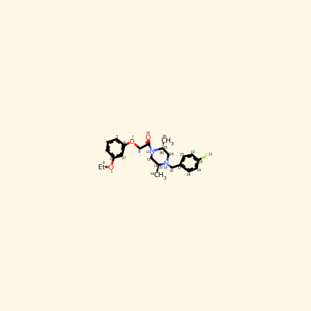 CCOc1cccc(OCC(=O)N2C[C@H](C)N(Cc3ccc(F)cc3)C[C@H]2C)c1